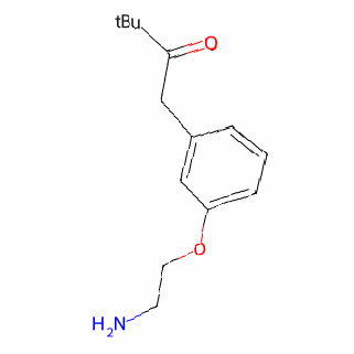 CC(C)(C)C(=O)Cc1cccc(OCCN)c1